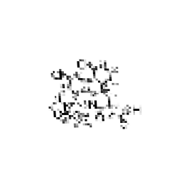 CC(C)N(CC(C1CC1)N1C(=O)[C@@](C)(CC(=O)O)CC(c2cccc(Cl)c2)[C@H]1c1ccc(Cl)cc1)S(C)(=O)=O